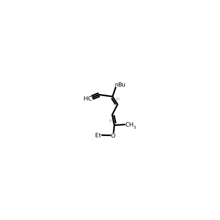 C#C/C(=C\C=C(/C)OCC)CCCC